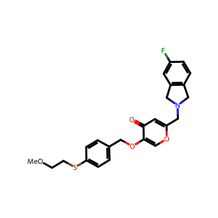 COCCSc1ccc(COc2coc(CN3Cc4ccc(F)cc4C3)cc2=O)cc1